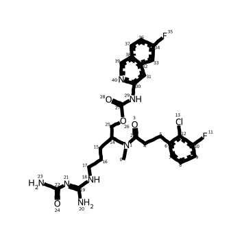 CN(C(=O)CCc1cccc(F)c1Cl)C(CCCNC(N)=NC(N)=O)COC(=O)Nc1cc2cc(F)ccc2cn1